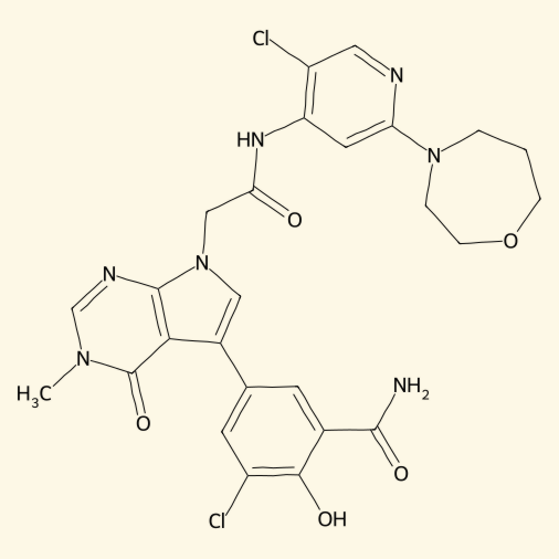 Cn1cnc2c(c(-c3cc(Cl)c(O)c(C(N)=O)c3)cn2CC(=O)Nc2cc(N3CCCOCC3)ncc2Cl)c1=O